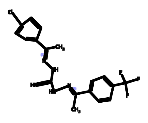 C/C(=N\NC(=N)N/N=C(\C)c1ccc(C(F)(F)F)cc1)c1ccc(Cl)cc1